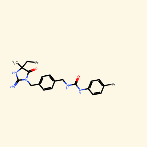 CC(C)CC1(C)NC(=N)N(Cc2ccc(CNC(=O)Nc3ccc(C(C)C)cc3)cc2)C1=O